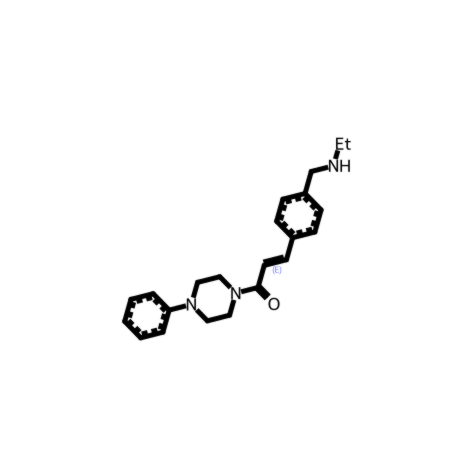 CCNCc1ccc(/C=C/C(=O)N2CCN(c3ccccc3)CC2)cc1